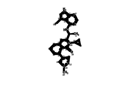 C[C@H](Nc1ncnc2[nH]cc(F)c12)c1cc2cccc(-c3cnn(C)c3)c2c(=O)n1C1CC1